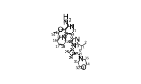 CC(C)c1nc(-c2cnc(N)c(OC(C)c3ccccn3)c2)cn1C12CC(C1)C2CN1CCOCC1